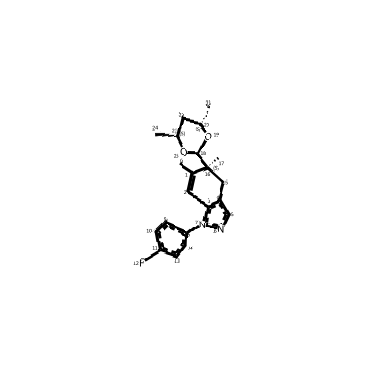 CC1=Cc2c(cnn2-c2ccc(F)cc2)C[C@]1(C)C1O[C@@H](C)C[C@H](C)O1